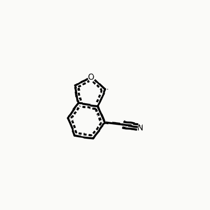 N#Cc1cccc2co[c]c12